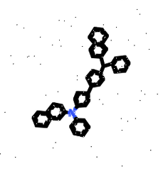 c1ccc(C(c2ccc(-c3ccc(N(c4ccccc4)c4ccc5ccccc5c4)cc3)cc2)c2ccc3ccccc3c2)cc1